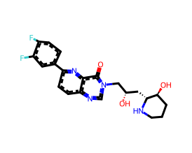 O=c1c2nc(-c3ccc(F)c(F)c3)ccc2ncn1C[C@@H](O)C[C@H]1NCCC[C@@H]1O